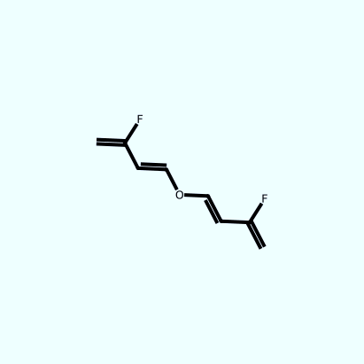 C=C(F)C=COC=CC(=C)F